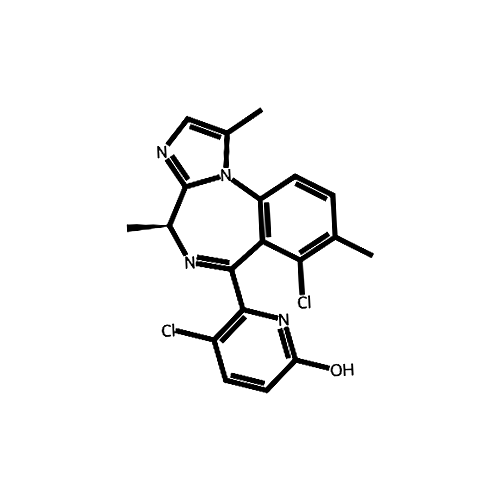 Cc1ccc2c(c1Cl)C(c1nc(O)ccc1Cl)=N[C@@H](C)c1ncc(C)n1-2